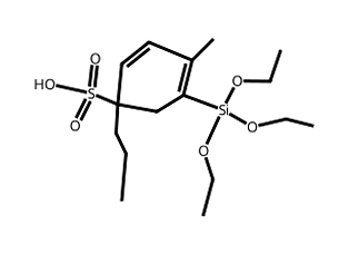 CCCC1(S(=O)(=O)O)C=CC(C)=C([Si](OCC)(OCC)OCC)C1